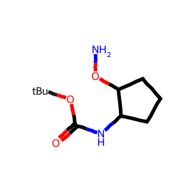 CC(C)(C)OC(=O)NC1CCCC1ON